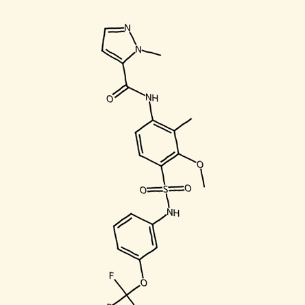 COc1c(S(=O)(=O)Nc2cccc(OC(F)(F)F)c2)ccc(NC(=O)c2ccnn2C)c1C